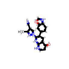 Cc1nn(-c2nc3[nH]ccc(=O)c3cc2-c2ccc3ncoc3c2)cc1C#N